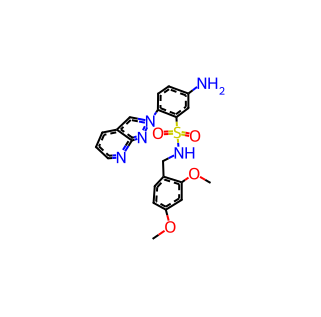 COc1ccc(CNS(=O)(=O)c2cc(N)ccc2-n2cc3cccnc3n2)c(OC)c1